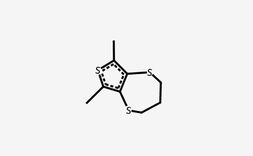 Cc1sc(C)c2c1SCCCS2